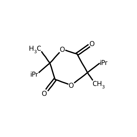 CC(C)C1(C)OC(=O)C(C)(C(C)C)OC1=O